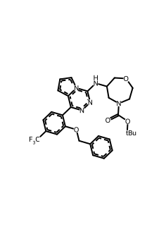 CC(C)(C)OC(=O)N1CCOCC(Nc2nnc(-c3ccc(C(F)(F)F)cc3OCc3ccccc3)c3cccn23)C1